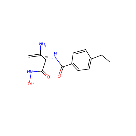 C=C(N)[C@H](NC(=O)c1ccc(CC)cc1)C(=O)NO